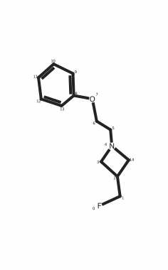 FCC1CN(CCOc2ccccc2)C1